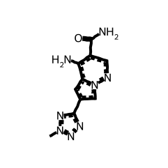 Cn1nnc(-c2cc3c(N)c(C(N)=O)cnn3c2)n1